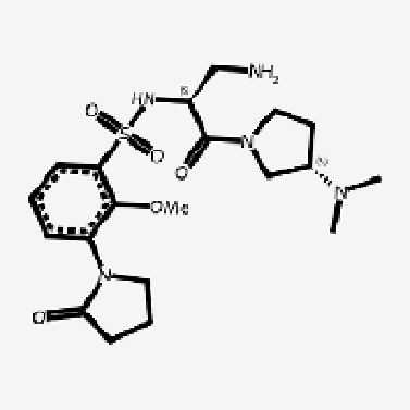 COc1c(N2CCCC2=O)cccc1S(=O)(=O)N[C@@H](CN)C(=O)N1CC[C@H](N(C)C)C1